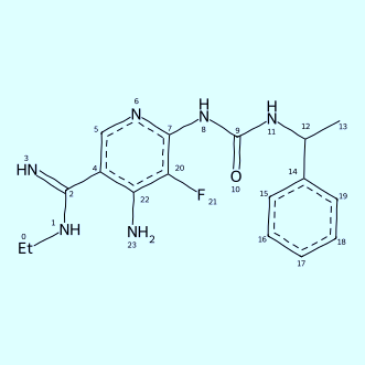 CCNC(=N)c1cnc(NC(=O)NC(C)c2ccccc2)c(F)c1N